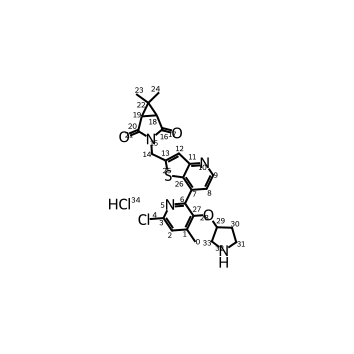 Cc1cc(Cl)nc(-c2ccnc3cc(CN4C(=O)C5C(C4=O)C5(C)C)sc23)c1OC1CCNC1.Cl